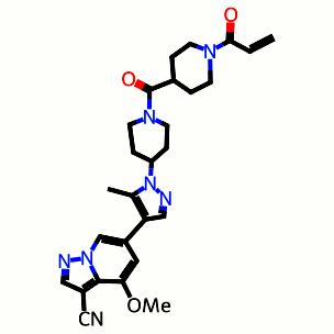 C=CC(=O)N1CCC(C(=O)N2CCC(n3ncc(-c4cc(OC)c5c(C#N)cnn5c4)c3C)CC2)CC1